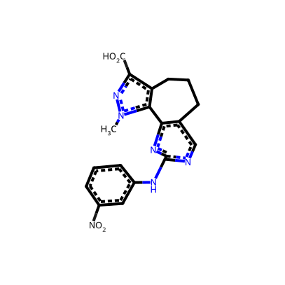 Cn1nc(C(=O)O)c2c1-c1nc(Nc3cccc([N+](=O)[O-])c3)ncc1CCC2